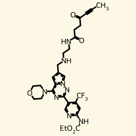 CC#CC(=O)CCC(=O)NCCNCc1cc2c(N3CCOCC3)nc(-c3cnc(NC(=O)OCC)cc3C(F)(F)F)nn2c1